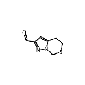 O=Cc1cc2n(n1)CSCC2